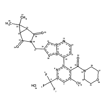 Cc1cc(C(F)(F)F)nc(-c2ccnc3cc(CN4C(=O)C5C(C4=O)C5(C)C)sc23)c1C(=O)N1CCOCC1.Cl